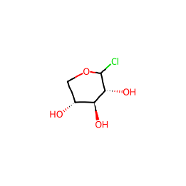 O[C@H]1[C@H](O)COC(Cl)[C@@H]1O